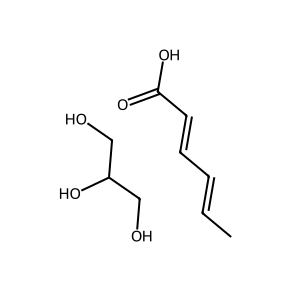 CC=CC=CC(=O)O.OCC(O)CO